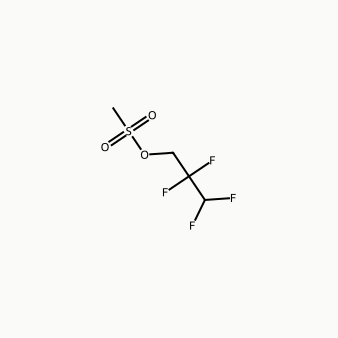 CS(=O)(=O)OCC(F)(F)C(F)F